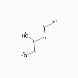 OCC(O)CCF